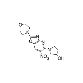 O=[N+]([O-])c1cc2oc(N3CCOCC3)nc2nc1N1CCC(O)C1